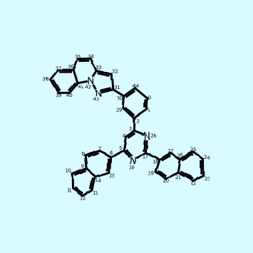 c1cc(-c2cc(-c3ccc4ccccc4c3)nc(-c3ccc4ccccc4c3)n2)cc(-c2cc3ccc4ccccc4n3n2)c1